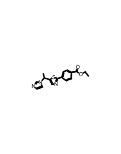 CCOC(=O)c1ccc(-c2ncc(C(C)n3ccnc3)s2)cc1